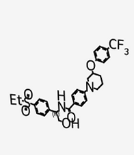 CCS(=O)(=O)c1ccc([C@H](CO)NC(=O)c2ccc(N3CCCC(Oc4ccc(C(F)(F)F)cc4)C3)cc2)cc1